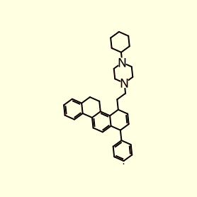 [c]1ccc(C2C=CC(CCN3CCN(C4CCCCC4)CC3)c3c2ccc2c3CCc3ccccc3-2)cc1